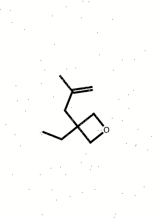 C=C(C)CC1(CC)COC1